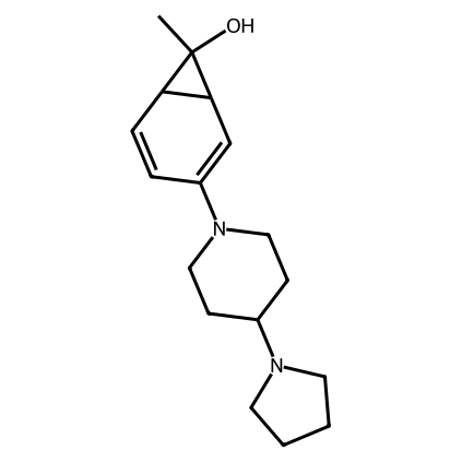 CC1(O)C2C=CC(N3CCC(N4CCCC4)CC3)=CC21